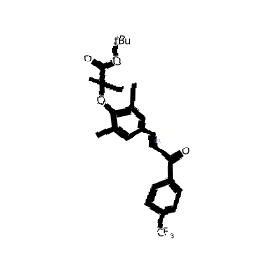 Cc1cc(/C=C/C(=O)c2ccc(C(F)(F)F)cc2)cc(C)c1OC(C)(C)C(=O)OC(C)(C)C